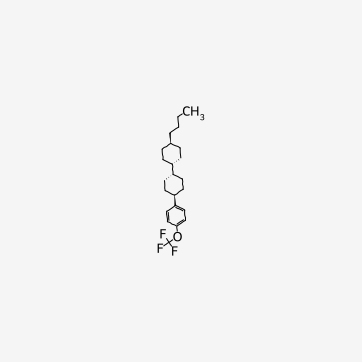 CCCC[C@H]1CC[C@H]([C@H]2CC[C@H](c3ccc(OC(F)(F)F)cc3)CC2)CC1